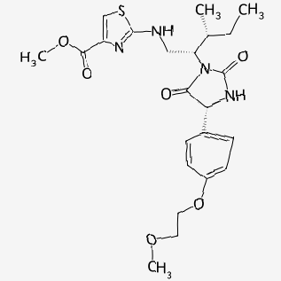 CC[C@@H](C)[C@@H](CNc1nc(C(=O)OC)cs1)N1C(=O)N[C@H](c2ccc(OCCOC)cc2)C1=O